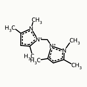 Cc1cc(C)[n+](C[n+]2c(C)cc(C)n2C)n1C